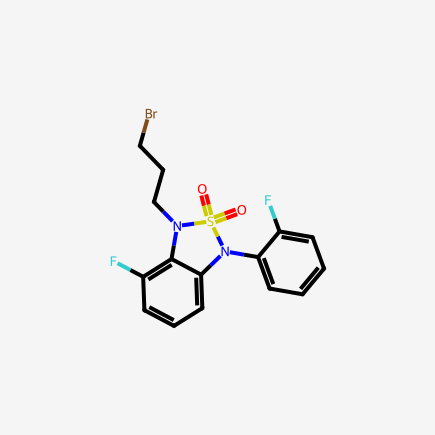 O=S1(=O)N(CCCBr)c2c(F)cccc2N1c1ccccc1F